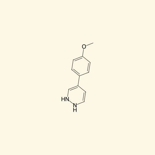 COc1ccc(C2=CNNC=C2)cc1